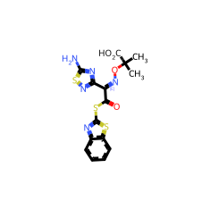 CC(C)(O/N=C(/C(=O)Sc1nc2ccccc2s1)c1nsc(N)n1)C(=O)O